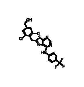 OCc1cc(Cl)c(Cc2nc3c(Nc4ccc(C(F)(F)F)cc4)ncnc3s2)c(Cl)c1